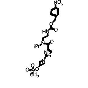 CC(C)N(CCNC(=O)OCc1ccc([N+](=O)[O-])cc1)C(=O)c1csc(N2CC(OS(C)(=O)=O)C2)n1